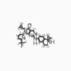 CC(C)(F)c1cccc(-n2c3nc(Nc4ccc5c(c4)CCNC54CC4)ncc3c(=O)n2C2CC2)n1